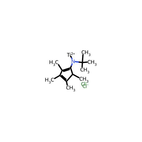 CC1=C(C)C(C)C([N]([Ti+2])C(C)(C)C)=C1C.[Cl-].[Cl-]